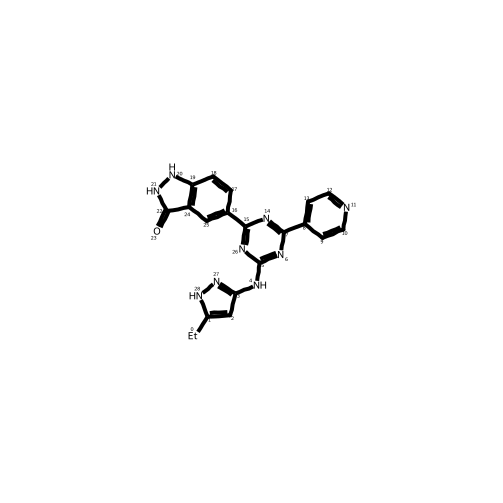 CCc1cc(Nc2nc(-c3ccncc3)nc(-c3ccc4[nH][nH]c(=O)c4c3)n2)n[nH]1